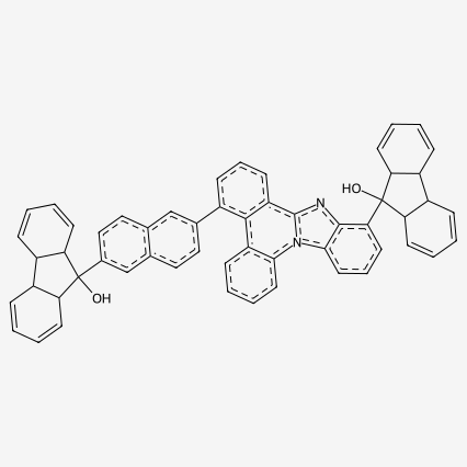 OC1(c2ccc3cc(-c4cccc5c4c4ccccc4n4c6cccc(C7(O)C8C=CC=CC8C8C=CC=CC87)c6nc54)ccc3c2)C2C=CC=CC2C2C=CC=CC21